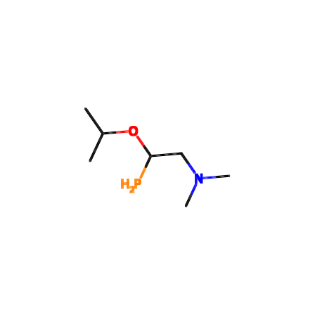 CC(C)OC(P)CN(C)C